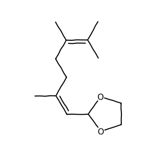 CC(=CC1OCCO1)CCC(C)=C(C)C